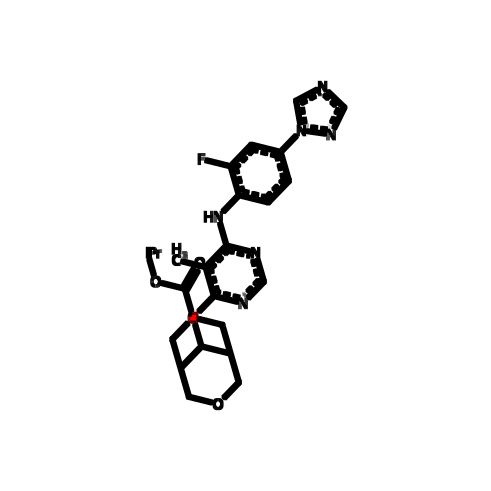 Cc1c(Nc2ccc(-n3cncn3)cc2F)ncnc1OC1C2COCC1CN(C(=O)OC(C)C)C2